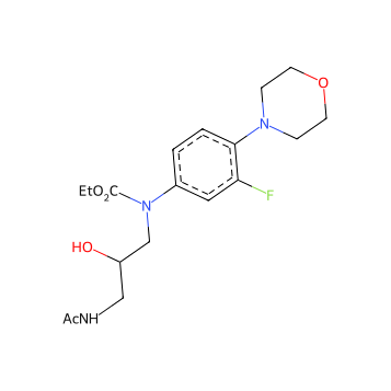 CCOC(=O)N(CC(O)CNC(C)=O)c1ccc(N2CCOCC2)c(F)c1